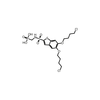 O=P(O)(O)CNS(=O)(=O)c1cc2cc(OCCCCCl)c(OCCCCCl)cc2s1